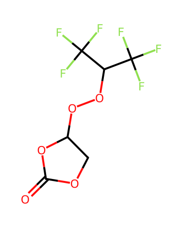 O=C1OCC(OOC(C(F)(F)F)C(F)(F)F)O1